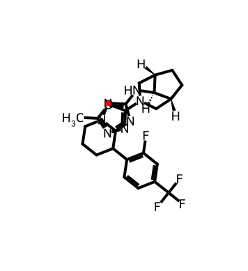 Cc1nnc(N2C[C@H]3CC[C@@H](C2)[C@@H]3Nc2nc3n(n2)CCCC3c2ccc(C(F)(F)F)cc2F)o1